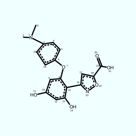 CN(C)c1ccc(Oc2cc(O)cc(O)c2-c2cc(C(=O)O)on2)cc1